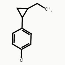 CCC1CC1c1ccc(Cl)cc1